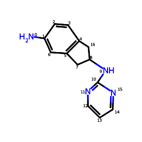 Nc1ccc2c(c1)CC(Nc1ncccn1)C2